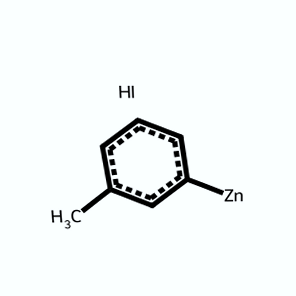 Cc1ccc[c]([Zn])c1.I